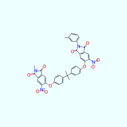 Cc1cccc(N2C(=O)c3cc(Oc4ccc(C(C)(C)c5ccc(Oc6cc7c(cc6[N+](=O)[O-])C(=O)N(C)C7=O)cc5)cc4)c([N+](=O)[O-])cc3C2=O)c1